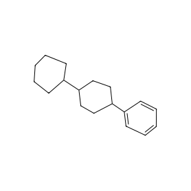 c1ccc(C2CCC(C3CCCCC3)CC2)cc1